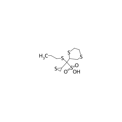 CCCSC(C1CSCCS1)(C1CS1)S(=O)(=O)O